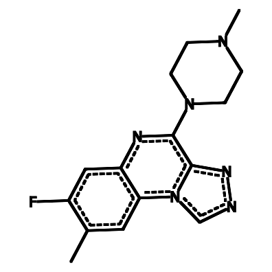 Cc1cc2c(cc1F)nc(N1CCN(C)CC1)c1nncn12